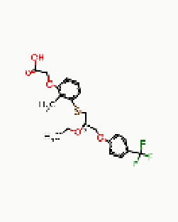 CCO[C@H](COc1ccc(C(F)(F)F)cc1)CSc1cccc(OCC(=O)O)c1C